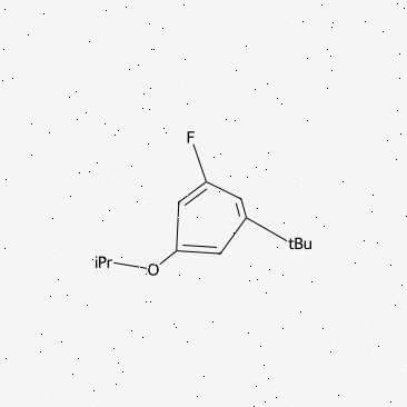 CC(C)Oc1cc(F)cc(C(C)(C)C)c1